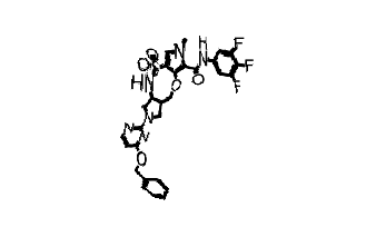 Cn1cc2c(c1C(=O)Nc1cc(F)c(F)c(F)c1)OCC1CN(c3nccc(OCc4ccccc4)n3)CC1NS2(=O)=O